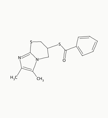 Cc1nc2n(c1C)CC(SC(=O)c1ccccc1)CS2